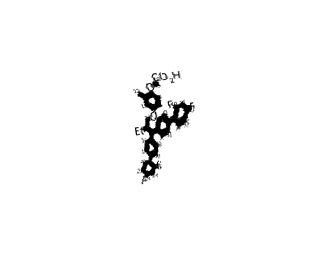 CCC(COc1ccc(OCC(=O)O)c(C)c1)=C(c1ccc(-c2ccc(F)cc2F)cc1)c1ccc(-c2ccc(F)cc2F)cc1